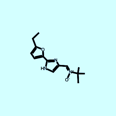 CCc1ccc(-c2nc(/C=[N+](\[O-])C(C)(C)C)c[nH]2)o1